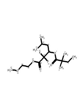 CCC(C)(C)C(=O)OC(CC(C)C)C(F)(F)C(=O)OCCOC